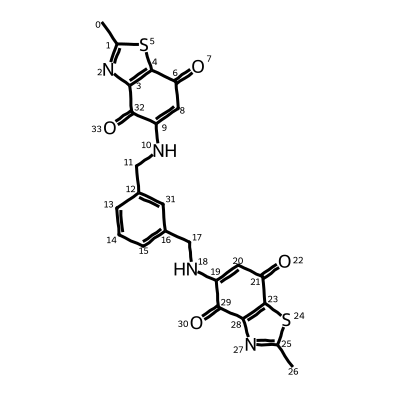 Cc1nc2c(s1)C(=O)C=C(NCc1cccc(CNC3=CC(=O)c4sc(C)nc4C3=O)c1)C2=O